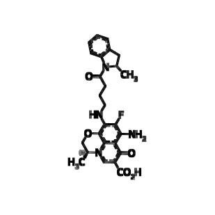 CC1Cc2ccccc2N1C(=O)CCCNc1c(F)c(N)c2c(=O)c(C(=O)O)cn3c2c1OC[C@@H]3C